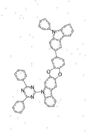 c1ccc(-c2nc(-c3ccccc3)nc(-n3c4ccccc4c4cc5c(cc43)Oc3cc(-c4ccc6c(c4)c4ccccc4n6-c4ccccc4)ccc3O5)n2)cc1